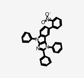 O=[N+]([O-])c1ccccc1-c1ccc2c(c1)c1c(nc(-c3ccccc3)n1-c1ccccc1)n2-c1ccccc1